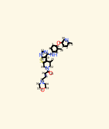 Cc1ccc(Oc2ccc(Nc3ncnc4sc5c(c34)C(C)CN(C(=O)/C=C/CN3CCOCC3)C5)cc2C)cn1